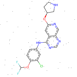 FC(F)Oc1ccc(Nc2ncnc3cnc(O[C@H]4CCNC4)cc23)cc1Cl